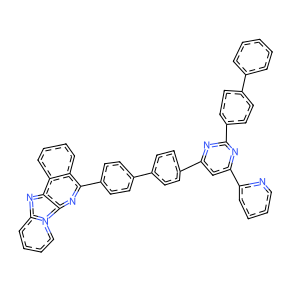 c1ccc(-c2ccc(-c3nc(-c4ccc(-c5ccc(-c6nc7c(nc8ccccn87)c7ccccc67)cc5)cc4)cc(-c4ccccn4)n3)cc2)cc1